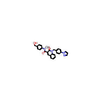 CN(C(=O)c1cc2ccccc2n(Cc2ccc(-n3cccn3)cc2)c1=O)c1ccc(CO)cc1